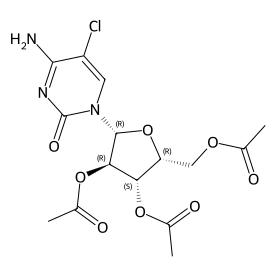 CC(=O)OC[C@H]1O[C@@H](n2cc(Cl)c(N)nc2=O)[C@H](OC(C)=O)[C@H]1OC(C)=O